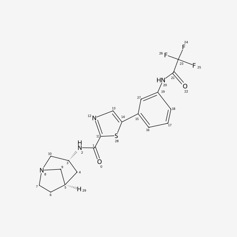 O=C(N[C@@H]1C[C@H]2CCN(C2)C1)c1ncc(-c2cccc(NC(=O)C(F)(F)F)c2)s1